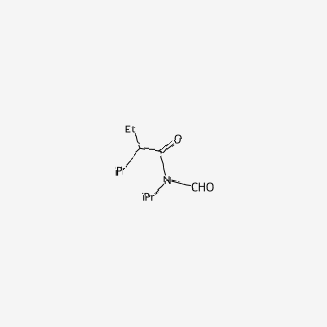 CCC(C(=O)N(C=O)C(C)C)C(C)C